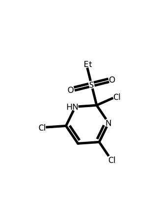 CCS(=O)(=O)C1(Cl)N=C(Cl)C=C(Cl)N1